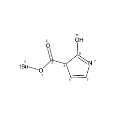 CC(C)(C)OC(=O)C1C=CN=C1O